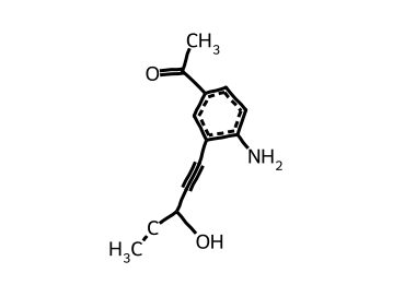 CCC(O)C#Cc1cc(C(C)=O)ccc1N